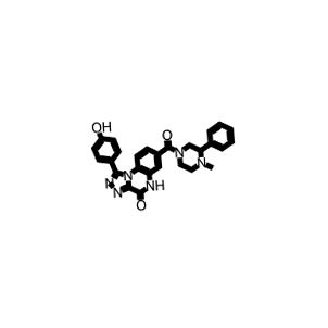 CN1CCN(C(=O)c2ccc3c(c2)[nH]c(=O)c2nnc(-c4ccc(O)cc4)n23)CC1c1ccccc1